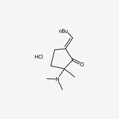 CCCC/C=C1\CCC(C)(N(C)C)C1=O.Cl